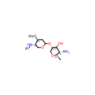 CO[C@H]1CC(O[C@H]2CO[C@H](C)[C@@H](N)[C@@H]2O)OC[C@@H]1NC(C)C